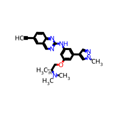 C#Cc1ccc2nc(Nc3cc(OC[C@@H](C)N(C)C)cc(-c4cnn(C)c4)c3)ncc2c1